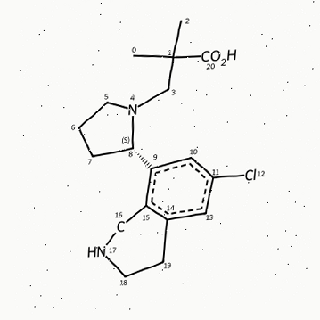 CC(C)(CN1CCC[C@H]1c1cc(Cl)cc2c1CNCC2)C(=O)O